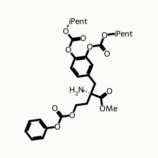 CCCC(C)OC(=O)Oc1cc(C[C@](N)(CCOC(=O)Oc2ccccc2)C(=O)OC)ccc1OC(=O)O[C@@H](C)CCC